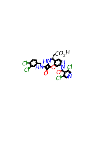 O=C(O)C[C@H](Nc1c(NCc2ccc(Cl)c(Cl)c2)c(=O)c1=O)c1ccc(NC(=O)c2c(Cl)cncc2Cl)cc1